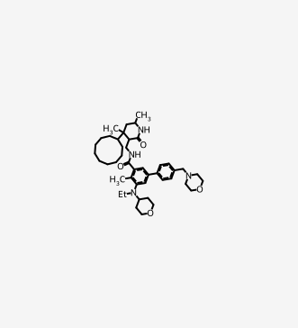 CCN(c1cc(-c2ccc(CN3CCOCC3)cc2)cc(C(=O)NCC2C(=O)NC(C)CC2(C)C2CCCCCCCCC2)c1C)C1CCOCC1